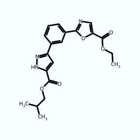 CCOC(=O)c1cnc(-c2cccc(-c3cc(C(=O)OCC(C)C)[nH]n3)c2)o1